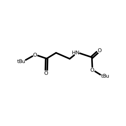 CC(C)(C)OC(=O)CCNC(=O)OC(C)(C)C